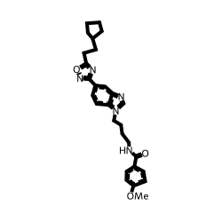 COc1ccc(C(=O)NCCCCn2cnc3cc(-c4noc(CCC5CCCC5)n4)ccc32)cc1